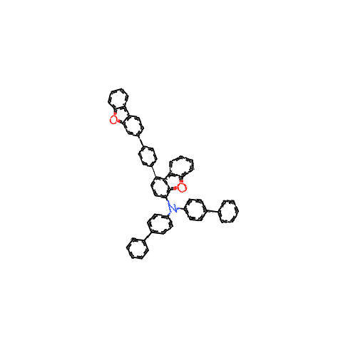 c1ccc(-c2ccc(N(c3ccc(-c4ccccc4)cc3)c3ccc(-c4ccc(-c5ccc6c(c5)oc5ccccc56)cc4)c4c3oc3ccccc34)cc2)cc1